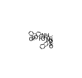 Cc1cc(C(=O)Nc2ccc(-c3ccccc3S(C)(=O)=O)cc2F)n(-c2cc3ccccc3cc2S(C)(=O)=O)n1